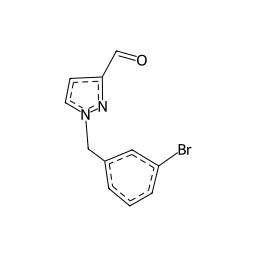 O=Cc1ccn(Cc2cccc(Br)c2)n1